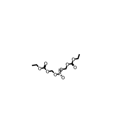 CCOC(=O)OCO[PH](=O)OCOC(=O)OCC